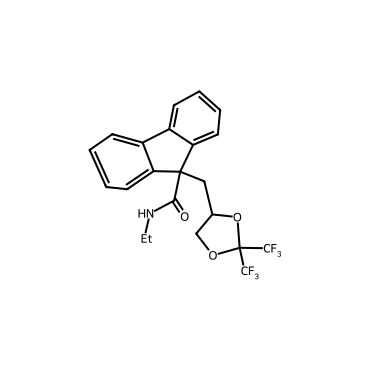 CCNC(=O)C1(CC2COC(C(F)(F)F)(C(F)(F)F)O2)c2ccccc2-c2ccccc21